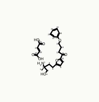 C[C@](N)(CO)CCc1ccc(C(=O)CCCOc2ccccc2)o1.O=C(O)C=CC(=O)O